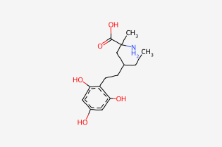 CCC(CCc1c(O)cc(O)cc1O)CC(C)(N)C(=O)O